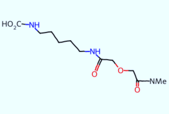 CNC(=O)COCC(=O)NCCCCCNC(=O)O